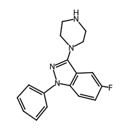 Fc1ccc2c(c1)c(N1CCNCC1)nn2-c1ccccc1